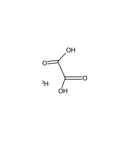 O=C(O)C(=O)O.[3H]